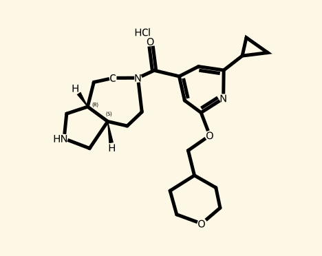 Cl.O=C(c1cc(OCC2CCOCC2)nc(C2CC2)c1)N1CC[C@@H]2CNC[C@@H]2CC1